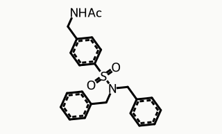 CC(=O)NCc1ccc(S(=O)(=O)N(Cc2ccccc2)Cc2ccccc2)cc1